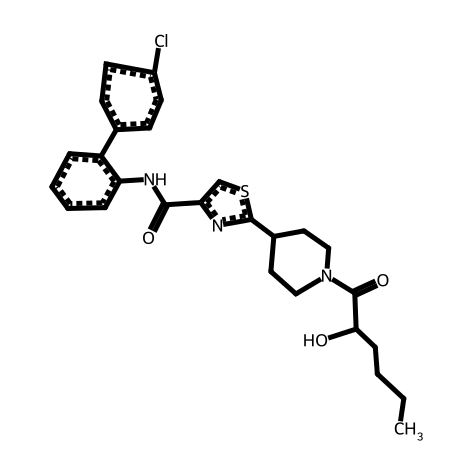 CCCCC(O)C(=O)N1CCC(c2nc(C(=O)Nc3ccccc3-c3ccc(Cl)cc3)cs2)CC1